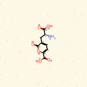 N[C@@H](Cc1ccc(C(=O)O)oc1=O)C(=O)O